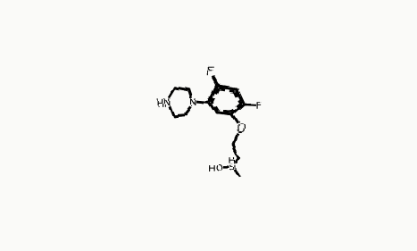 C[SiH](O)CCOc1cc(N2CCNCC2)c(F)cc1F